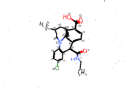 CCNC(=O)C(c1ccc(C(=O)O)cc1)c1cc(Cl)ccc1N1CCCC(C)C1